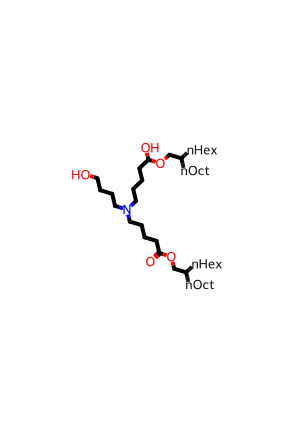 CCCCCCCCC(CCCCCC)COC(=O)CCCCN(CCCCO)CCCCC(O)OCC(CCCCCC)CCCCCCCC